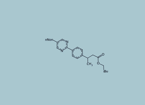 CCCCCCCCCc1cnc(-c2ccc(C(C)CC(=O)OCC(C)CC)cc2)nc1